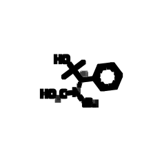 CC(C)(O)[C@H](c1ccccc1)N(C(=O)O)C(C)(C)C